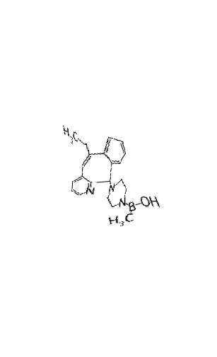 CCC1=Cc2cccnc2C(N2CCN(B(C)O)CC2)c2ccccc21